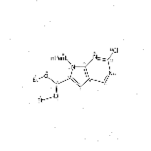 CCCCCn1c(C(OCC)OCC)cc2cnc(Cl)nc21